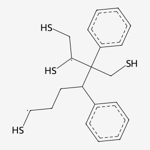 S[CH]CCC(c1ccccc1)C(CS)([C](S)CS)c1ccccc1